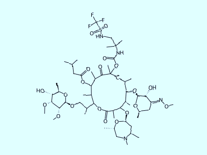 CON=C1C[C@@H](C)O[C@@H](OC2C(C)CC(C)(OC(=O)NC(C)(C)CNS(=O)(=O)C(F)(F)F)C(=O)C(C)C(OC(=O)CC(C)C)C(C)C(C(C)CO[C@@H]3O[C@H](C)[C@@H](O)[C@@H](OC)[C@H]3OC)OC(=O)C(C)C(O[C@H]3CC(C)N(C)C[C@H](C)O3)C2C)[C@@H]1O